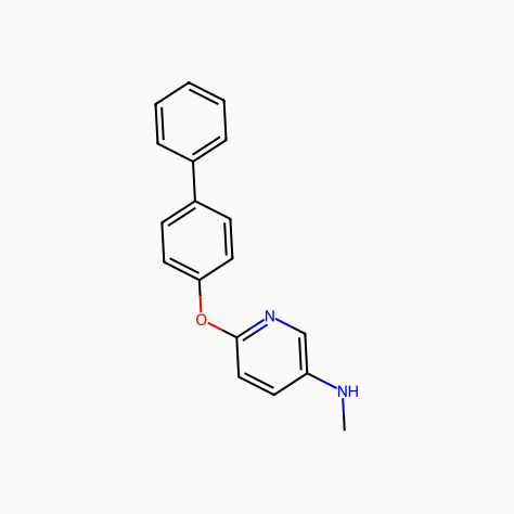 CNc1ccc(Oc2ccc(-c3ccccc3)cc2)nc1